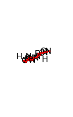 CN(C)CCNC(=O)COc1ccc(N2CCN(CCn3ncc4c3nc(N)n3nc(-c5ccco5)cc43)CC2)c(F)c1